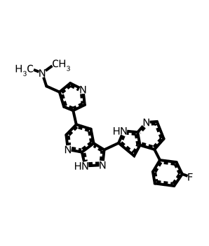 CN(C)Cc1cncc(-c2cnc3[nH]nc(-c4cc5c(-c6cccc(F)c6)ccnc5[nH]4)c3c2)c1